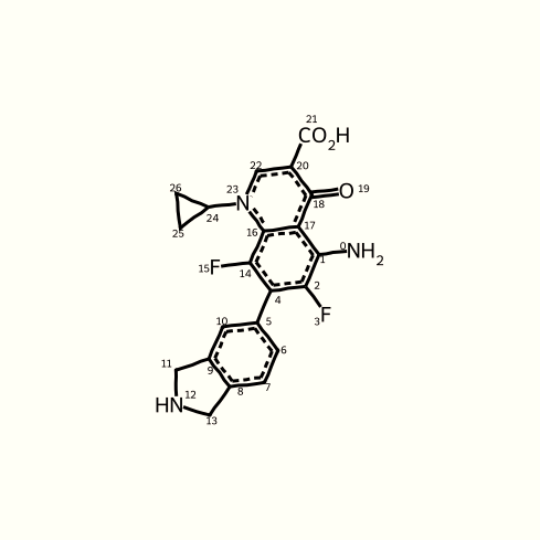 Nc1c(F)c(-c2ccc3c(c2)CNC3)c(F)c2c1c(=O)c(C(=O)O)cn2C1CC1